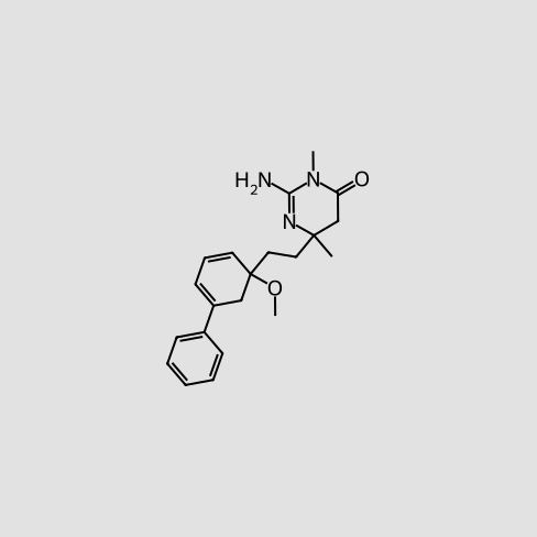 COC1(CCC2(C)CC(=O)N(C)C(N)=N2)C=CC=C(c2ccccc2)C1